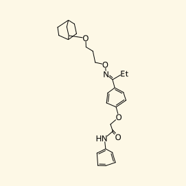 CC/C(=N\OCCCOC1CC2CCC1CC2)c1ccc(OCC(=O)Nc2ccccc2)cc1